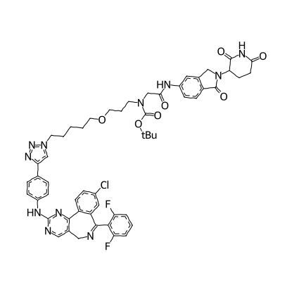 CC(C)(C)OC(=O)N(CCCOCCCCCn1cc(-c2ccc(Nc3ncc4c(n3)-c3ccc(Cl)cc3C(c3c(F)cccc3F)=NC4)cc2)nn1)CC(=O)Nc1ccc2c(c1)CN(C1CCC(=O)NC1=O)C2=O